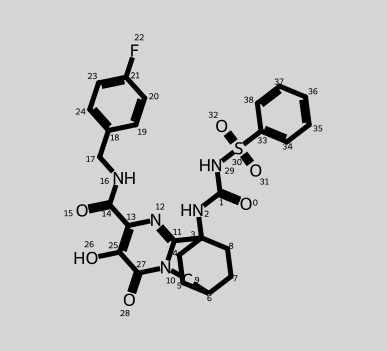 O=C(NC12CCC(CC1)Cn1c2nc(C(=O)NCc2ccc(F)cc2)c(O)c1=O)NS(=O)(=O)c1ccccc1